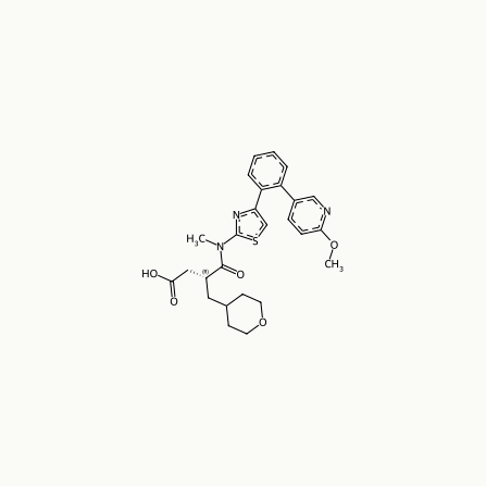 COc1ccc(-c2ccccc2-c2csc(N(C)C(=O)[C@@H](CC(=O)O)CC3CCOCC3)n2)cn1